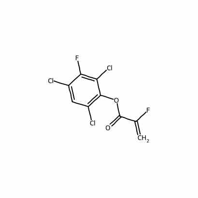 C=C(F)C(=O)Oc1c(Cl)cc(Cl)c(F)c1Cl